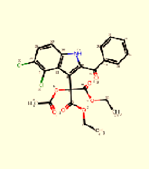 CCOC(=O)C(OC(C)=O)(C(=O)OCC)c1c(C(=O)c2ccccc2)[nH]c2ccc(Cl)c(Cl)c12